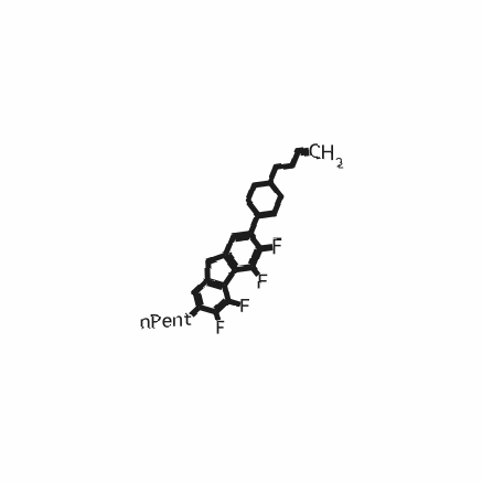 C=CCCC1CCC(c2cc3c(c(F)c2F)-c2c(cc(CCCCC)c(F)c2F)C3)CC1